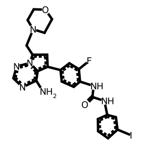 Nc1ncnn2c(CN3CCOCC3)cc(-c3ccc(NC(=O)Nc4cccc(I)c4)c(F)c3)c12